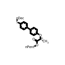 CCCCCCCCCCSc1ccc(-c2ccc(O[C@H](C)C(=O)OCCCCC)cc2)cc1